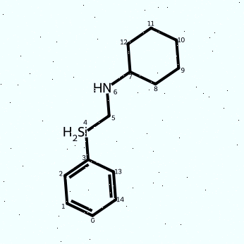 c1ccc([SiH2]CNC2CCCCC2)cc1